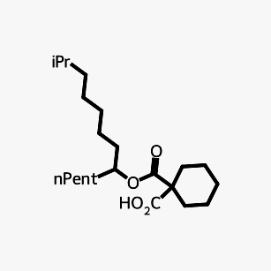 CCCCCC(CCCCCC(C)C)OC(=O)C1(C(=O)O)CCCCC1